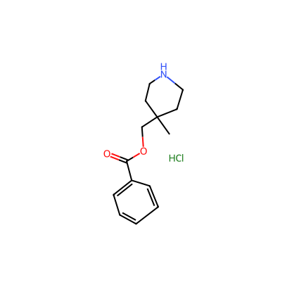 CC1(COC(=O)c2ccccc2)CCNCC1.Cl